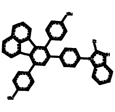 CCc1[nH]c2ccccc2[n+]1-c1ccc(-c2cc(-c3ccc(C(C)(C)C)cc3)c3c(c2-c2ccc(C(C)(C)C)cc2)-c2cccc4cccc-3c24)cc1